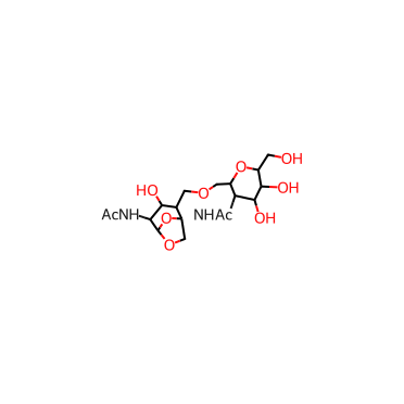 CC(=O)NC1C(COCC2C3COC(O3)C(NC(C)=O)C2O)OC(CO)C(O)C1O